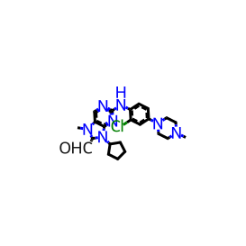 CN1CCN(c2ccc(Nc3ncc4c(n3)N(C3CCCC3)C(C=O)N4C)c(Cl)c2)CC1